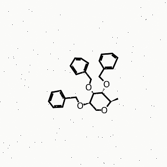 C[C@H]1OC[C@@H](OCc2ccccc2)[C@H](OCc2ccccc2)[C@@H]1OCc1ccccc1